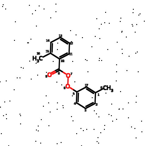 Cc1cccc(OOC(=O)c2ccccc2C)c1